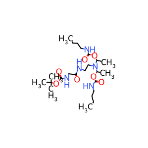 CCCCNC(=O)OC(C)N(CCNC(=O)CNC(=O)OC(C)(C)C)C(C)OC(=O)NCCCC